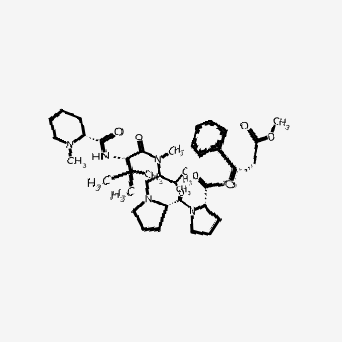 COC(=O)C[C@H](OC(=O)[C@@H]1CCCN1C(=O)[C@@H]1CCCN1C[C@H](C(C)C)N(C)C(=O)[C@@H](NC(=O)[C@H]1CCCCN1C)C(C)(C)C)c1ccccc1